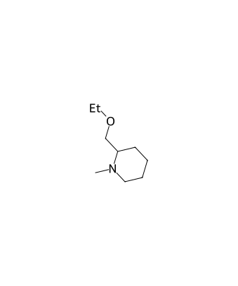 CCOCC1CCCCN1C